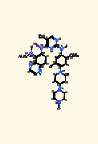 CCc1cnc(N(C)c2cc(C)c(N3CCC(N4CCN(C)CC4)CC3)cc2OC)nc1N(I)c1ccc2nccnc2c1N(C)SC